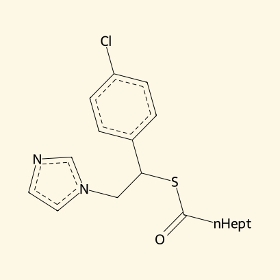 CCCCCCCC(=O)SC(Cn1ccnc1)c1ccc(Cl)cc1